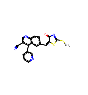 CSC1=NC(=O)/C(=C\c2ccc3ncc(C#N)c(-c4cccnc4)c3c2)S1